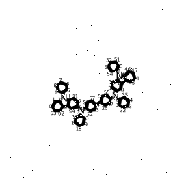 C1=CC2=[N+](c3ccccc3)c3ccc(N(c4ccccc4)c4ccc(-c5ccc(N(c6ccccc6)c6ccc7c(c6)c6ccccc6n7-c6ccccc6)cc5)cc4)cc3C2C=C1